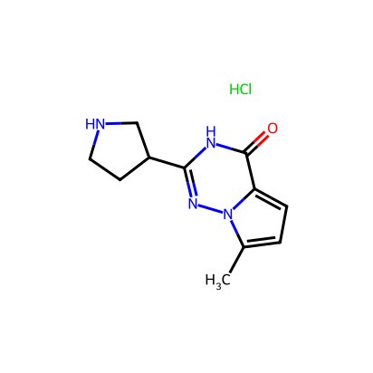 Cc1ccc2c(=O)[nH]c(C3CCNC3)nn12.Cl